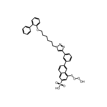 O=S(=O)(O)c1cc(SOOO)c2cc(-c3cccc(-c4cn(CCCCCCOc5ccccc5-c5ccccc5)nn4)c3)ccc2c1